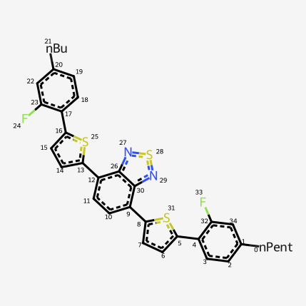 CCCCCc1ccc(-c2ccc(-c3ccc(-c4ccc(-c5ccc(CCCC)cc5F)s4)c4nsnc34)s2)c(F)c1